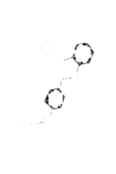 COc1ccc(COc2[c]cccc2OC)cc1